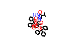 CC(C)c1cn([C@@H]2O[C@H](COC(c3ccccc3)(c3ccccc3)c3ccccc3)[C@@H](OS(C)(=O)=O)[C@H]2OC(c2ccccc2)(c2ccccc2)c2ccccc2)c(=O)[nH]c1=O